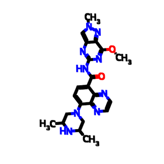 COc1nc(NC(=O)c2ccc(N3CC(C)NC(C)C3)c3nccnc23)nc2cn(C)nc12